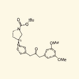 COc1cc(CC(=O)Cc2ccn([C@H]3CCN(C(=O)OC(C)(C)C)C3)c2)cc(OC)c1